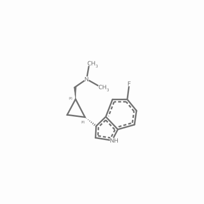 CN(C)C[C@@H]1C[C@H]1c1c[nH]c2ccc(F)cc12